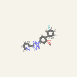 COc1cc(-n2nnc(-c3ccccn3)n2)ccc1-c1cccc(F)c1